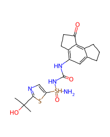 CC(C)(O)c1ncc([SH](N)(=O)NC(=O)Nc2cc3c(c4c2CCC4=O)CCC3)s1